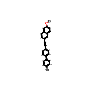 CCOc1ccc2cc(C#Cc3ccc(-c4ccc(CC)cc4)cc3)ccc2c1